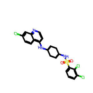 O=S(=O)(NC1CCC(Nc2ccnc3cc(Cl)ccc23)CC1)c1cccc(Cl)c1Cl